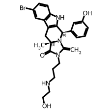 C=C1N(CCCNCCO)C(=O)[C@]2(C)Cc3c([nH]c4ccc(Br)cc34)[C@@H](c3cccc(O)c3)N12